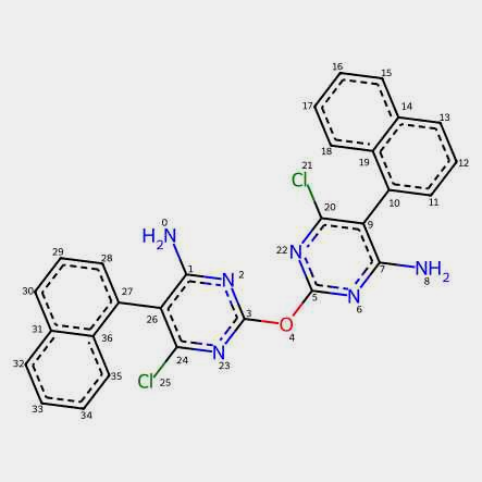 Nc1nc(Oc2nc(N)c(-c3cccc4ccccc34)c(Cl)n2)nc(Cl)c1-c1cccc2ccccc12